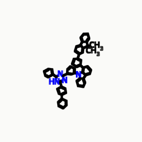 CC1(C)c2ccccc2-c2ccc(-c3cccc(-c4cccc5c6ccccc6n(-c6cccc(C7=NC(c8ccccc8)NC(c8ccc(-c9ccccc9)cc8)=N7)c6)c45)c3)cc21